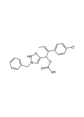 CC=C(c1ccc(Cl)cc1)C(OC(=O)CCC)C1=CN(Cc2ccccc2)NO1